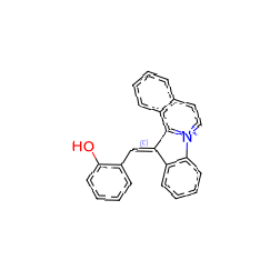 Oc1ccccc1/C=C1\c2ccccc2-[n+]2ccc3ccccc3c21